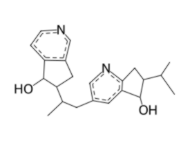 CC(C)C1Cc2ncc(CC(C)C3Cc4cnccc4C3O)cc2C1O